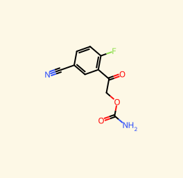 N#Cc1ccc(F)c(C(=O)COC(N)=O)c1